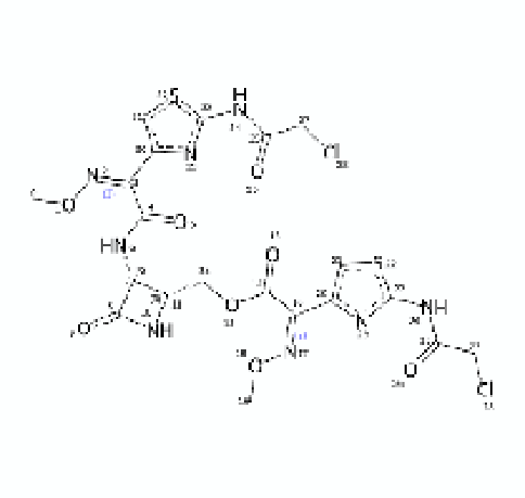 CO/N=C(\C(=O)N[C@H]1C(=O)N[C@H]1COC(=O)/C(=N\OC)c1csc(NC(=O)CCl)n1)c1csc(NC(=O)CCl)n1